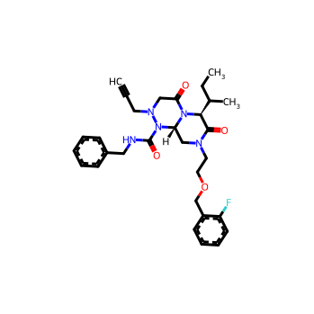 C#CCN1CC(=O)N2[C@@H](C(C)CC)C(=O)N(CCOCc3ccccc3F)C[C@@H]2N1C(=O)NCc1ccccc1